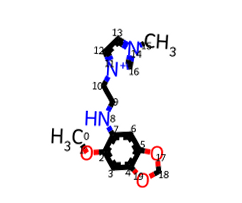 COc1cc2c(cc1NCC[n+]1ccn(C)c1)OCO2